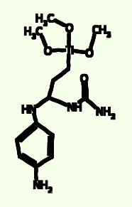 C[O][Ti]([CH2]CC(NC(N)=O)Nc1ccc(N)cc1)([O]C)[O]C